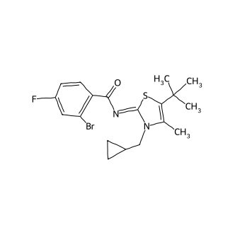 Cc1c(C(C)(C)C)s/c(=N\C(=O)c2ccc(F)cc2Br)n1CC1CC1